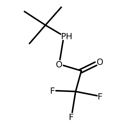 CC(C)(C)POC(=O)C(F)(F)F